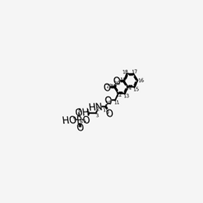 O=C(NCCOP(=O)(O)O)OCc1cc2ccccc2oc1=O